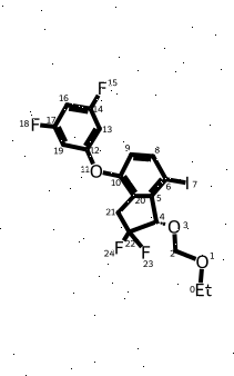 CCOCO[C@H]1c2c(I)ccc(Oc3cc(F)cc(F)c3)c2CC1(F)F